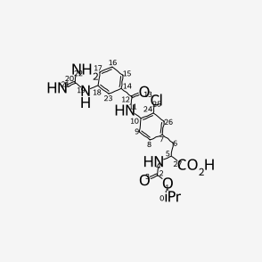 CC(C)OC(=O)NC(Cc1ccc(NC(=O)c2cccc(NC(=N)N)c2)c(Cl)c1)C(=O)O